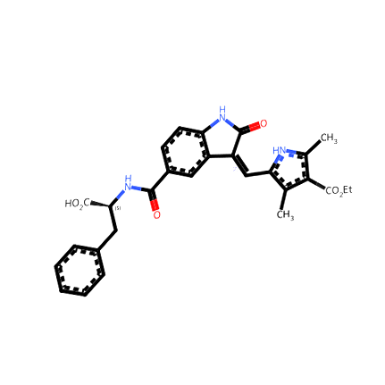 CCOC(=O)c1c(C)[nH]c(/C=C2\C(=O)Nc3ccc(C(=O)N[C@@H](Cc4ccccc4)C(=O)O)cc32)c1C